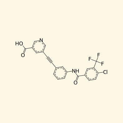 O=C(O)c1cncc(C#Cc2cccc(NC(=O)c3ccc(Cl)c(C(F)(F)F)c3)c2)c1